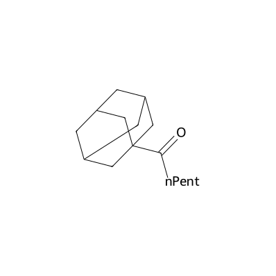 CCCCCC(=O)C12CC3CC(CC(C3)C1)C2